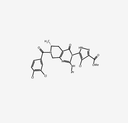 COC(=O)c1n[nH]c(-n2c(NC(C)C)nc3c(c2=O)C[C@@H](C)N(C(=O)c2ccc(Cl)c(Cl)c2)C3)c1Cl